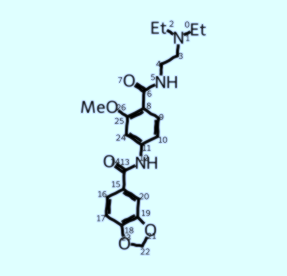 CCN(CC)CCNC(=O)c1ccc(NC(=O)c2ccc3c(c2)OCO3)cc1OC